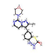 CC(C)c1nn2c(N3CCOCC3)nccc2c1-c1ccc2c(c1)SC(=O)NN2